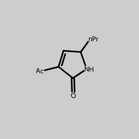 CCCC1C=C(C(C)=O)C(=O)N1